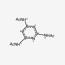 CC(=O)Nc1cc(NC(C)=O)nc(NC(C)=O)c1